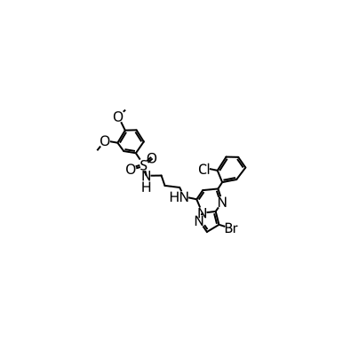 COc1ccc(S(=O)(=O)NCCCNc2cc(-c3ccccc3Cl)nc3c(Br)cnn23)cc1OC